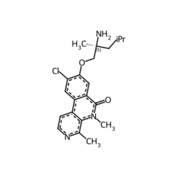 Cc1nccc2c3cc(Cl)c(OC[C@@](C)(N)CC(C)C)cc3c(=O)n(C)c12